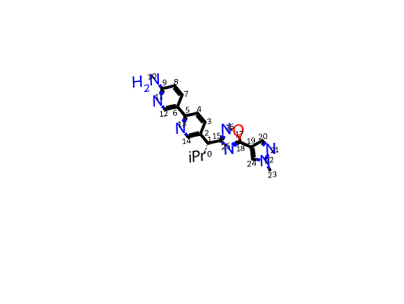 CC(C)[C@H](c1ccc(-c2ccc(N)nc2)nc1)c1noc(-c2cnn(C)c2)n1